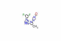 Cc1cc(Nc2ncn(-c3cc(F)cc(F)c3)n2)nc(N2CCN(C3COC3)CC2)c1